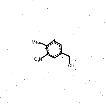 CSc1ncc(CO)cc1[N+](=O)[O-]